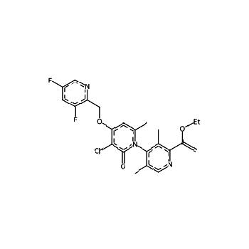 C=C(OCC)c1ncc(C)c(-n2c(C)cc(OCc3ncc(F)cc3F)c(Cl)c2=O)c1C